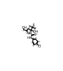 CCC1=NN(C(=S)Nc2ccc(Cl)cc2)C(O)(C(F)(F)F)C1